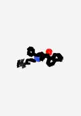 CCCn1cc(C(=O)c2cccc3ccccc23)cc1-c1ccccc1